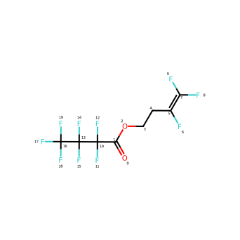 O=C(OCCC(F)=C(F)F)C(F)(F)C(F)(F)C(F)(F)F